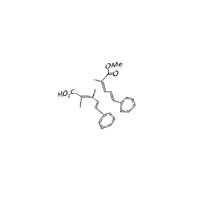 CC(C=Cc1ccccc1)=C(C)C(=O)O.COC(=O)C(C)=CC=Cc1ccccc1